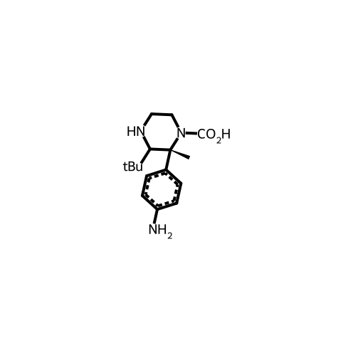 CC(C)(C)C1NCCN(C(=O)O)[C@]1(C)c1ccc(N)cc1